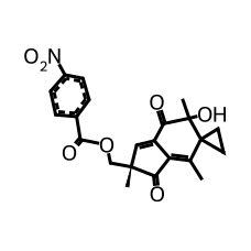 CC1=C2C(=O)[C@](C)(COC(=O)c3ccc([N+](=O)[O-])cc3)C=C2C(=O)C(C)(O)C12CC2